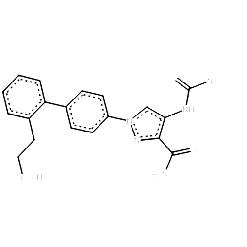 NC(=O)Nc1cn(-c2ccc(-c3ccccc3CCC(=O)O)cc2)nc1C(N)=O